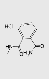 CNC(=O)c1ccccc1C(N)=O.Cl